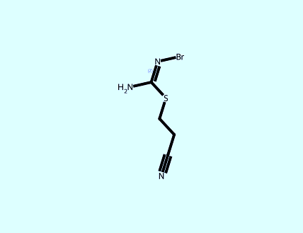 N#CCCS/C(N)=N\Br